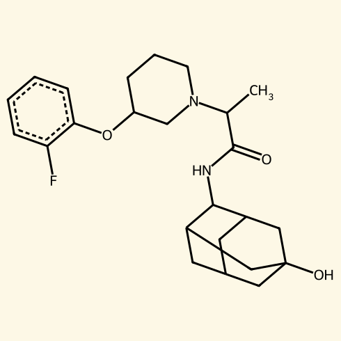 CC(C(=O)NC1C2CC3CC1CC(O)(C3)C2)N1CCCC(Oc2ccccc2F)C1